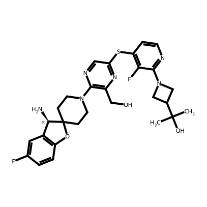 CC(C)(O)C1CN(c2nccc(Sc3cnc(N4CCC5(CC4)Oc4ccc(F)cc4[C@H]5N)c(CO)n3)c2F)C1